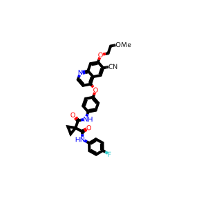 COCCOc1cc2nccc(Oc3ccc(NC(=O)C4(C(=O)Nc5ccc(F)cc5)CC4)cc3)c2cc1C#N